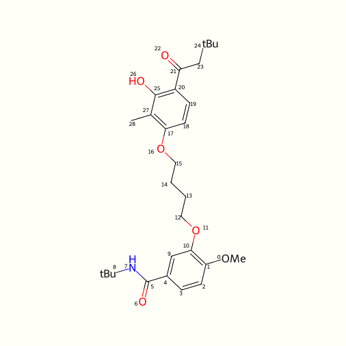 COc1ccc(C(=O)NC(C)(C)C)cc1OCCCCOc1ccc(C(=O)CC(C)(C)C)c(O)c1C